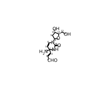 NC1(C=CC=O)C=CN([C@H]2C[C@H](O)[C@@H](CO)O2)C(=O)N1